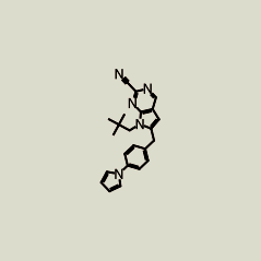 CC(C)(C)Cn1c(Cc2ccc(-n3cccc3)cc2)cc2cnc(C#N)nc21